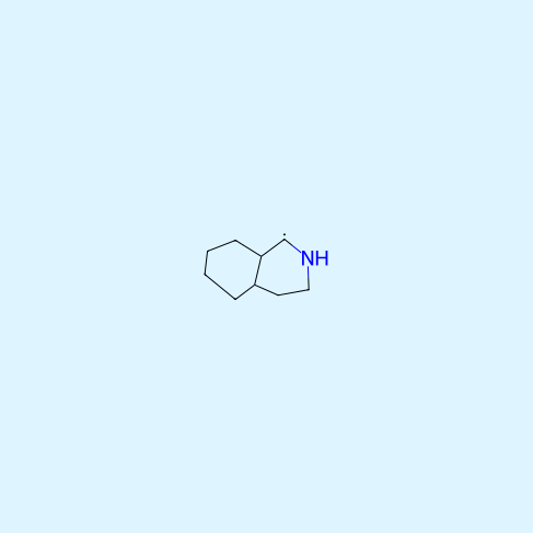 [CH]1NCCC2CCCCC12